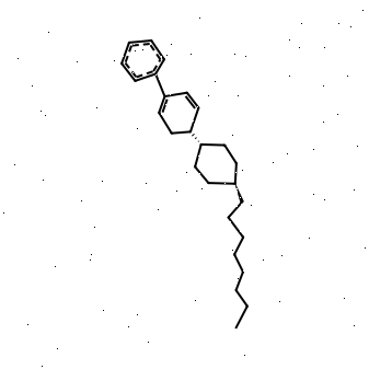 CCCCCCCC[C@H]1CC[C@H](C2C=CC(c3ccccc3)=CC2)CC1